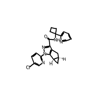 O=C(NC1(c2ccccn2)CCC1)c1nn(-c2ccc(Cl)cn2)c2c1C[C@H]1C[C@@H]21